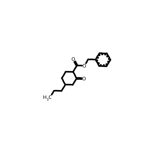 CCCC1CCC(C(=O)OCc2ccccc2)C(=O)C1